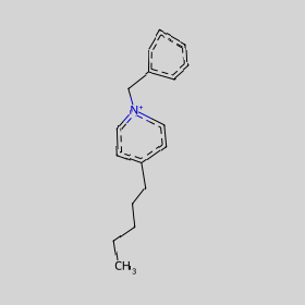 CCCCCc1cc[n+](Cc2ccccc2)cc1